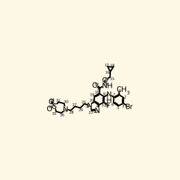 Cc1cc(Br)ccc1Nc1c(C(=O)NOCC2CC2)cc2c(ncn2CCCCN2CCS(=O)(=O)CC2)c1F